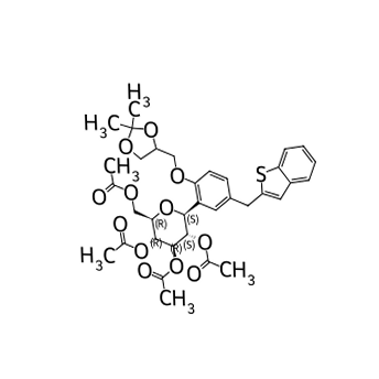 CC(=O)OC[C@H]1O[C@@H](c2cc(Cc3cc4ccccc4s3)ccc2OCC2COC(C)(C)O2)[C@H](OC(C)=O)[C@@H](OC(C)=O)[C@@H]1OC(C)=O